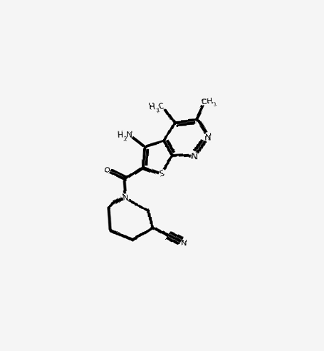 Cc1nnc2sc(C(=O)N3CCCC(C#N)C3)c(N)c2c1C